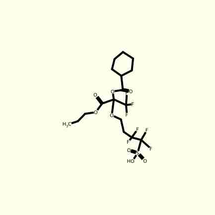 CCCOC(=O)C(OCCC(F)(F)C(F)(F)S(=O)(=O)O)(OC(=O)C1CCCCC1)C(F)(F)F